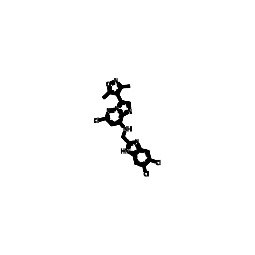 Cc1noc(C)c1-c1cnc2c(NCc3nc4cc(Cl)c(Cl)cc4[nH]3)cc(Cl)nn12